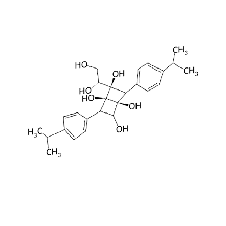 CC(C)c1ccc(C2C(O)[C@@]3(O)C(c4ccc(C(C)C)cc4)[C@@](O)([C@H](O)CO)[C@@]23O)cc1